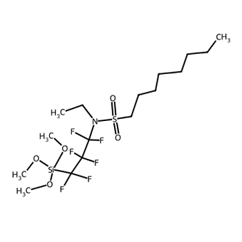 CCCCCCCCS(=O)(=O)N(CC)C(F)(F)C(F)(F)C(F)(F)[Si](OC)(OC)OC